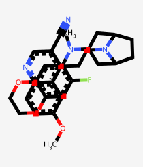 COc1ccc2ncc(C#N)c(CCN3C4CCC3CC(N(C)c3cc5c(cc3F)OCCO5)C4)c2c1